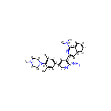 Cc1cc(-c2cnc(N)c(-c3cc4ccccc4c(N(C)C)n3)c2)cc(C)c1N1CCN(C)CC1